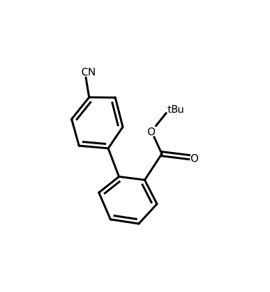 CC(C)(C)OC(=O)c1ccccc1-c1ccc(C#N)cc1